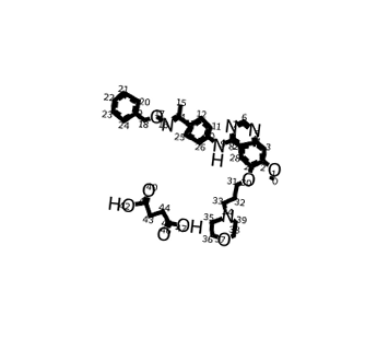 COc1cc2ncnc(Nc3ccc(C(C)=NOCc4ccccc4)cc3)c2cc1OCCCN1CCOCC1.O=C(O)CCC(=O)O